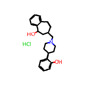 Cl.Oc1ccccc1C1CCN(CC2CCc3ccccc3C(O)C2)CC1